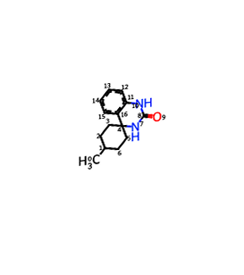 CC1CCC2(CC1)NC(=O)Nc1ccccc12